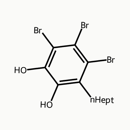 CCCCCCCc1c(O)c(O)c(Br)c(Br)c1Br